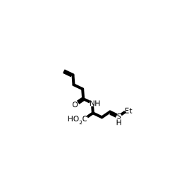 C=CCCC(=O)NC(CC=[SH]CC)C(=O)O